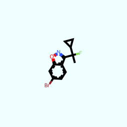 CC(F)(c1noc2cc(Br)ccc12)C1CC1